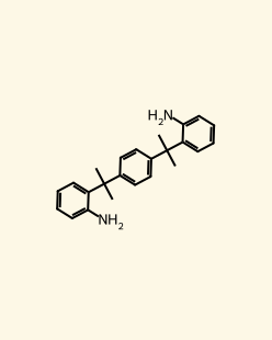 CC(C)(c1ccc(C(C)(C)c2ccccc2N)cc1)c1ccccc1N